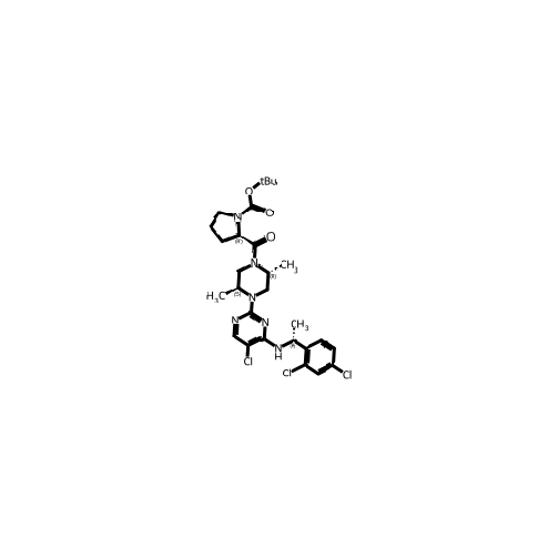 C[C@@H]1CN(c2ncc(Cl)c(N[C@H](C)c3ccc(Cl)cc3Cl)n2)[C@@H](C)CN1C(=O)[C@H]1CCCN1C(=O)OC(C)(C)C